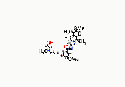 COc1cc(OCCCCN(C)CCO)cc(C(=O)N[C@@H]2CCN(C(C)c3ccc(OC)c(C)c3C)C2)c1